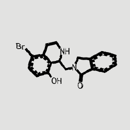 O=C1c2ccccc2CN1CC1NCCc2c(Br)ccc(O)c21